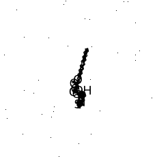 CCCCCCCCCCCCCCOCC(COP(=O)(O)Oc1cccc(CN2C=C(C)SC2)c1)OC